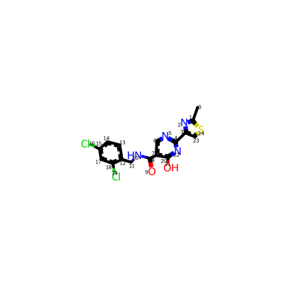 Cc1nc(-c2ncc(C(=O)NCc3ccc(Cl)cc3Cl)c(O)n2)cs1